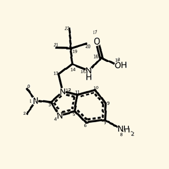 CN(C)c1nc2cc(N)ccc2n1CC(NC(=O)O)C(C)(C)C